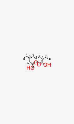 CCC(CCCC(CC)C(=O)O)CC(=O)O